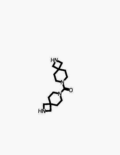 O=C(N1CCC2(CC1)CNC2)N1CCC2(CC1)CNC2